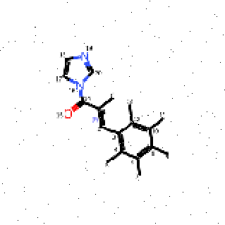 C/C(=C\c1c(C)c(C)c(C)c(C)c1C)C(=O)n1ccnc1